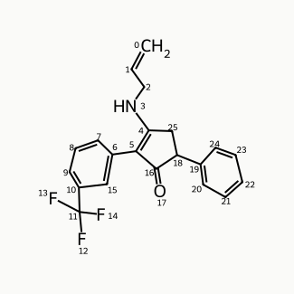 C=CCNC1=C(c2cccc(C(F)(F)F)c2)C(=O)C(c2ccccc2)C1